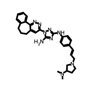 CN(C)C1CCN(CC=Cc2ccc(Nc3nc(N)n(-c4cc5c(nn4)-c4ccccc4CCC5)n3)cc2)C1